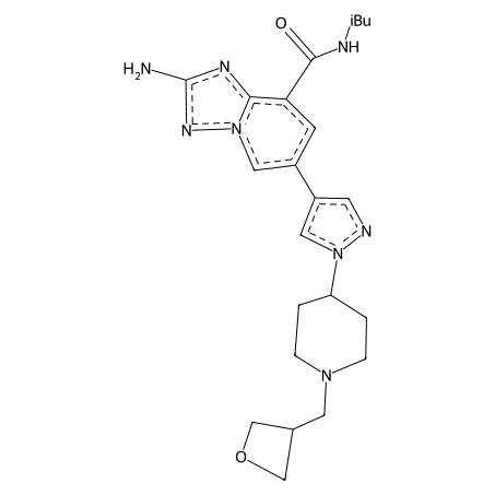 CCC(C)NC(=O)c1cc(-c2cnn(C3CCN(CC4COC4)CC3)c2)cn2nc(N)nc12